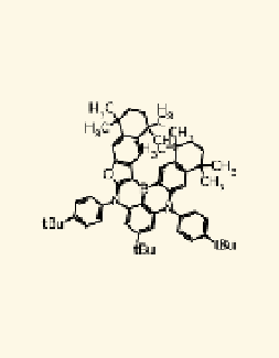 CC(C)(C)c1ccc(N2c3cc4c(cc3B3c5c2cc(C(C)(C)C)cc5N(c2ccc(C(C)(C)C)cc2)c2oc5cc6c(cc5c23)C(C)(C)CCC6(C)C)C(C)(C)CCC4(C)C)cc1